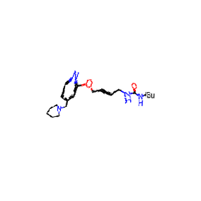 CCC(C)NC(=O)NCC=CCOc1cc(CN2CCCCC2)ccn1